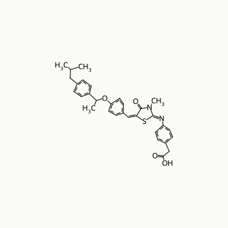 CC(C)Cc1ccc(C(C)Oc2ccc(/C=C3/S/C(=N\c4ccc(CC(=O)O)cc4)N(C)C3=O)cc2)cc1